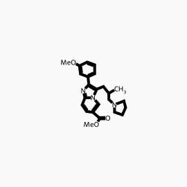 COC(=O)c1ccc2nc(-c3cccc(OC)c3)c(CC(C)CN3CCCC3)n2c1